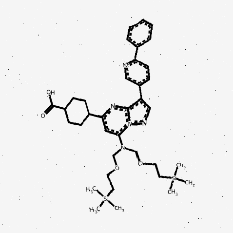 C[Si](C)(C)CCOCN(COCC[Si](C)(C)C)c1cc(C2CCC(C(=O)O)CC2)nc2c(-c3ccc(-c4ccccc4)nc3)cnn12